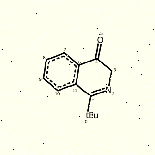 CC(C)(C)C1=NCC(=O)c2ccccc21